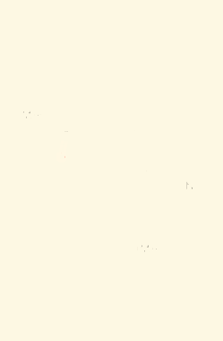 [C-]#[N+]c1cc(OC)ccc1C1=CCCc2ccc(C(=O)OC)cc21